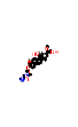 CCO[C@@H]([C@@H]1C[C@H]2[C@H]([C@H](C)C1)[C@@]1(C)CCC34C[C@@]35CC[C@H](O[C@H]3CN([C@@H](C)C(=O)N(C)C)CCO3)C(C)(C)[C@@H]5CC[C@H]4[C@]1(C)[C@H]2O)C(C)(C)O